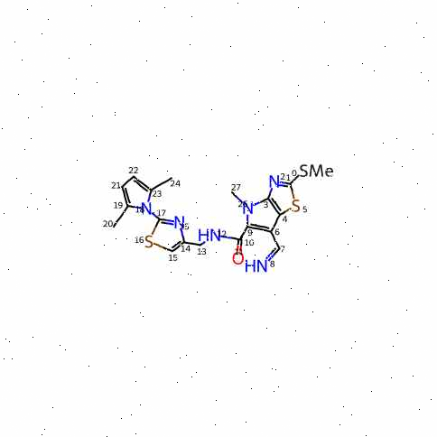 CSc1nc2c(s1)c(C=N)c(C(=O)NCc1csc(-n3c(C)ccc3C)n1)n2C